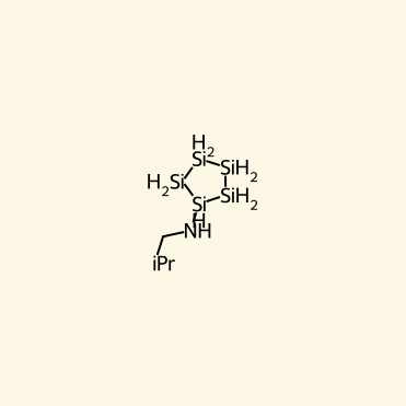 CC(C)CN[SiH]1[SiH2][SiH2][SiH2][SiH2]1